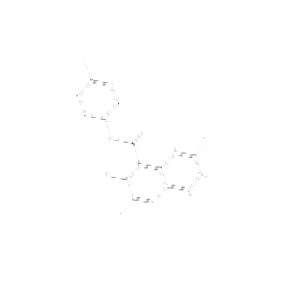 Cc1c[c]c(NC(=O)c2c(C)c(Cl)nc3ccc(Br)cc23)cc1